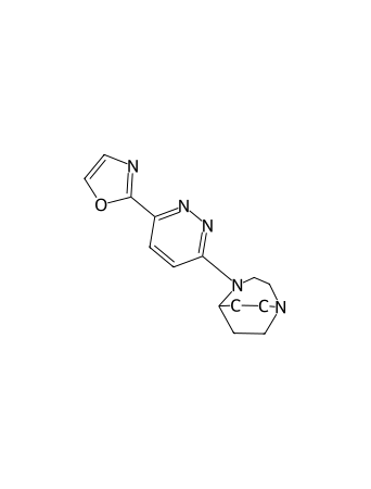 c1coc(-c2ccc(N3CCN4CCC3CC4)nn2)n1